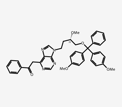 COc1ccc(C(OC[C@H](CCn2cnc3c(CC(=O)c4ccccc4)ncnc32)OC)(c2ccccc2)c2ccc(OC)cc2)cc1